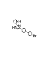 Brc1ccc(-c2ccc(-c3c[nH]c(C4CCCN4)n3)cc2)cc1